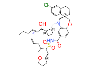 C=CCC(C)C(C[C@H]1CCCO1)S(=O)(=O)NC(=O)c1ccc2c(c1)N(C[C@@H]1CC[C@H]1C(O)/C=C/CCC)C[C@@]1(CCCc3cc(Cl)ccc31)CO2